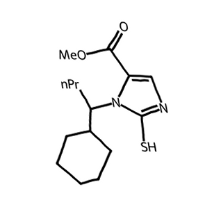 CCCC(C1CCCCC1)n1c(C(=O)OC)cnc1S